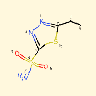 CCc1nnc(S(N)(=O)=O)s1